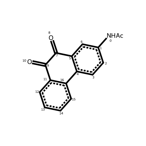 CC(=O)Nc1ccc2c(c1)C(=O)C(=O)c1ccccc1-2